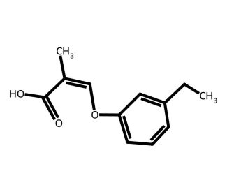 CCc1cccc(OC=C(C)C(=O)O)c1